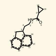 O=C(NCCC1Cc2cccc3cccc1c23)C1CC1